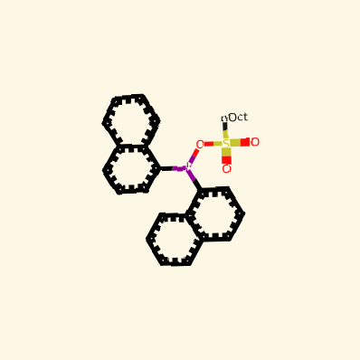 CCCCCCCCS(=O)(=O)O[I+](c1cccc2ccccc12)c1cccc2ccccc12